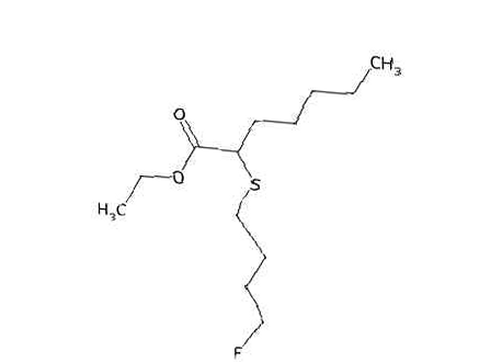 CCCCCC(SCCCCF)C(=O)OCC